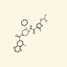 Cc1cc(C(=O)N2CC[C@@H](NC(=O)c3cc(OC(F)F)nn3C)[C@@H](c3ccccc3)C2)cc2nccnc12